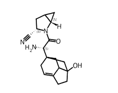 N#C[C@@H]1CC2C[C@@H]2N1C(=O)[C@@H](N)C12CC=C3CCC(O)(C1)C3C2